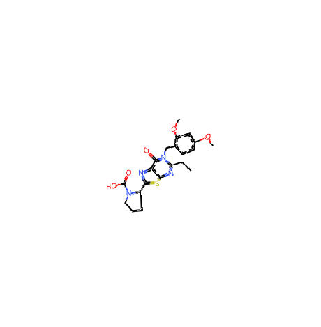 CCc1nc2sc([C@H]3CCCN3C(=O)O)nc2c(=O)n1Cc1ccc(OC)cc1OC